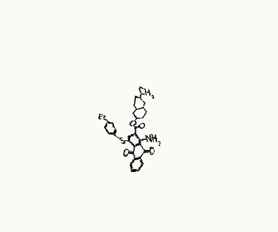 CCc1ccc(Sc2cc(C(=O)OC3CCC4CC(C)CCC4C3)c(N)c3c2C(=O)c2ccccc2C3=O)cc1